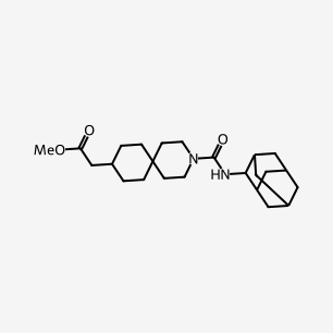 COC(=O)CC1CCC2(CC1)CCN(C(=O)NC1C3CC4CC(C3)CC1C4)CC2